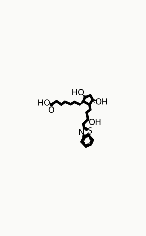 O=C(O)CCCCCC[C@@H]1C(CCC(O)Cc2nc3ccccc3s2)[C@H](O)C[C@@H]1O